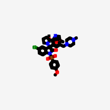 COc1ccc(S(=O)(=O)N2C(=O)C(c3cc(CN4CCN(C)CC4)ccc3OC)(N3CCC[C@H]3c3ncc(C)o3)c3cc(Cl)ccc32)cc1